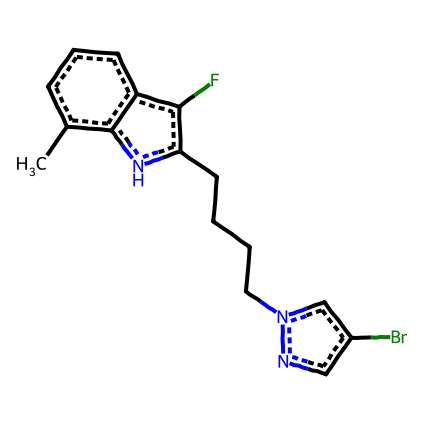 Cc1cccc2c(F)c(CCCCn3cc(Br)cn3)[nH]c12